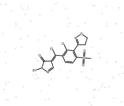 CCN1N=C/C(=C(/Cl)c2ccc(S(C)(=O)=O)c(C3=NOCC3)c2Cl)C1=O